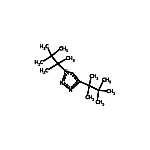 CC(C)(C)C(C)(C)c1cn(C(C)(C)C(C)(C)C)nn1